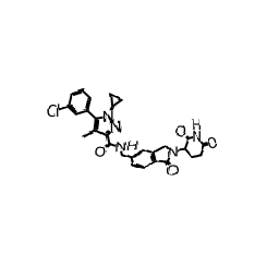 Cc1c(C(=O)NCc2ccc3c(c2)CN(C2CCC(=O)NC2=O)C3=O)nn(C2CC2)c1-c1cccc(Cl)c1